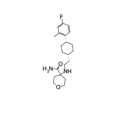 Cc1cc(F)ccc1[C@H]1CC[C@@H](CCNC2(C(N)=O)CCOCC2)CC1